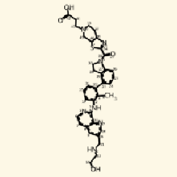 Cc1c(Nc2nccc3cc(CNCCO)cnc23)cccc1-c1cccc2c1CCN2C(=O)C1=NC2CCN(CCC(=O)O)CC2S1